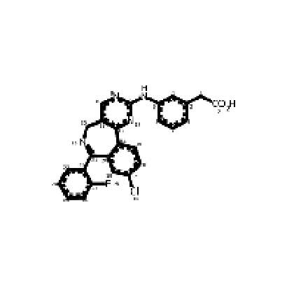 O=C(O)Cc1cccc(Nc2ncc3c(n2)-c2ccc(Cl)cc2C(c2ccccc2F)=NC3)c1